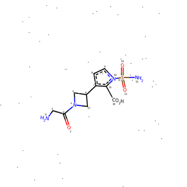 NCC(=O)N1CC(c2ccn(S(N)(=O)=O)c2C(=O)O)C1